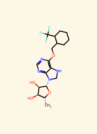 C[C@H]1O[C@@H](N2CNc3c(OCC4CCCCC4C(F)(F)F)ncnc32)[C@H](O)[C@@H]1O